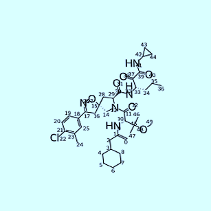 C=C(CC1CCCCC1)N[C@H](C(=O)N1C[C@@]2(CC(c3ccc(Cl)c(C)c3)=NO2)C[C@H]1C(=O)N[C@@H](CCC)C(=O)C(=O)NC1CC1)C(C)(C)OC